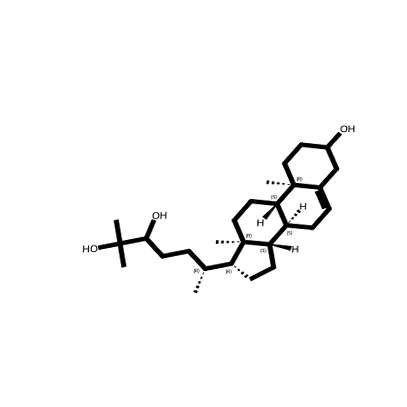 C[C@H](CCC(O)C(C)(C)O)[C@H]1CC[C@H]2[C@@H]3CC=C4CC(O)CC[C@]4(C)[C@H]3CC[C@]12C